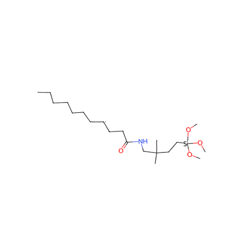 CCCCCCC[CH]CCC(=O)NCC(C)(C)CC[Si](OC)(OC)OC